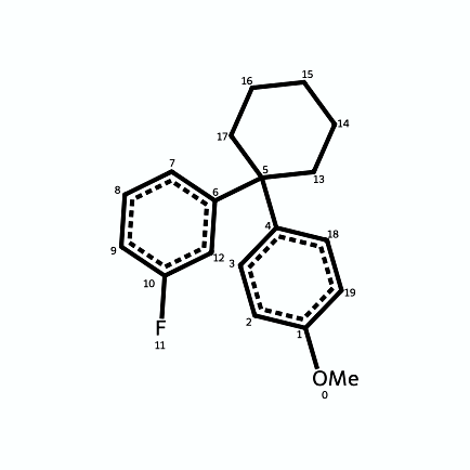 COc1ccc(C2(c3cccc(F)c3)CCCCC2)cc1